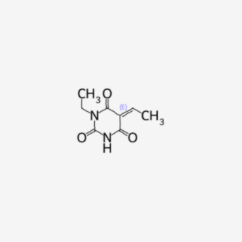 C/C=C1\C(=O)NC(=O)N(CC)C1=O